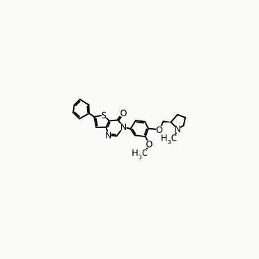 COc1cc(-n2cnc3cc(-c4ccccc4)sc3c2=O)ccc1OC[C@H]1CCCN1C